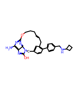 Nc1nc2nc3c1nc(O)n3Cc1ccc(-c3ccc(CNC4CCC4)cc3)c(c1)C/C=C/CCCO2